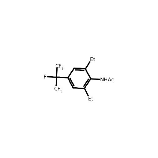 CCc1cc(C(F)(C(F)(F)F)C(F)(F)F)cc(CC)c1NC(C)=O